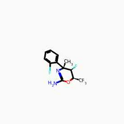 C[C@]1(c2ccccc2F)N=C(N)O[C@H](C(F)(F)F)[C@@H]1F